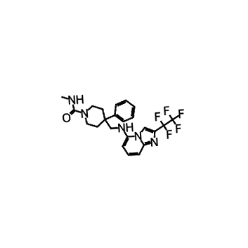 CNC(=O)N1CCC(CNc2cccc3nc(C(F)(F)C(F)(F)F)cn23)(c2ccccc2)CC1